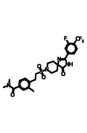 Cc1cc(C(=O)N(C)C)ccc1CCS(=O)(=O)N1CCC2(CC1)N=C(c1ccc(C(F)(F)F)c(F)c1)NC2=O